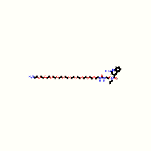 CCCN(OCCNC(=O)NCCOCCOCCOCCOCCOCCOCCOCCOCCOCCOCCN)C(=O)C1=Cc2ccccc2N=C(N)C1